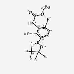 CC(C)(C)OC(=O)Nc1c(F)ccc(B2OC(C)(C)C(C)(C)O2)c1F